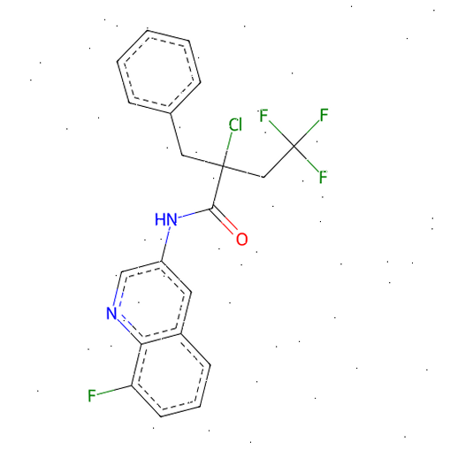 O=C(Nc1cnc2c(F)cccc2c1)C(Cl)(Cc1ccccc1)CC(F)(F)F